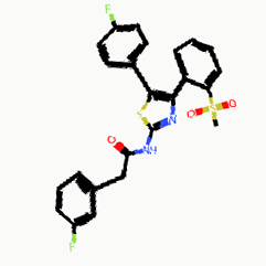 CS(=O)(=O)c1ccccc1-c1nc(NC(=O)Cc2cccc(F)c2)sc1-c1ccc(F)cc1